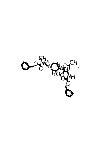 CC(C)C[C@H](NC(=O)OCc1ccccc1)C(=O)NC1CCN(CCN(C)C(=O)OCc2ccccc2)CC1O